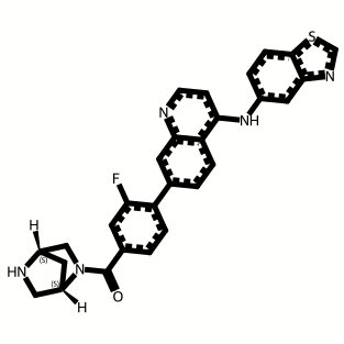 O=C(c1ccc(-c2ccc3c(Nc4ccc5scnc5c4)ccnc3c2)c(F)c1)N1C[C@@H]2C[C@H]1CN2